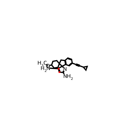 COC1CCC2(CC1)Cc1ccc(C#CC3CC3)cc1C21N=C(N)c2ccc(N)cc21